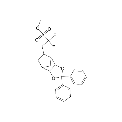 COS(=O)(=O)C(F)(F)CC1CC2CC1C1OC(c3ccccc3)(c3ccccc3)OC21